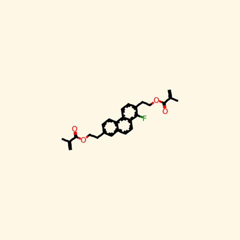 C=C(C)C(=O)OCCc1ccc2c(ccc3c(F)c(CCOC(=O)C(=C)C)ccc32)c1